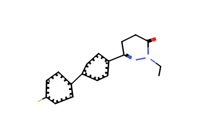 CCN1N=C(c2ccc(-c3ccc(F)cc3)cc2)CCC1=O